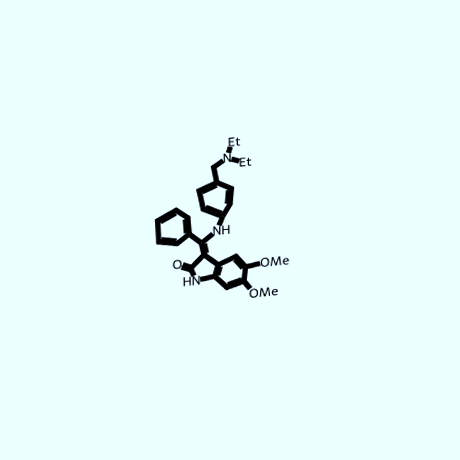 CCN(CC)Cc1ccc(NC(=C2C(=O)Nc3cc(OC)c(OC)cc32)c2ccccc2)cc1